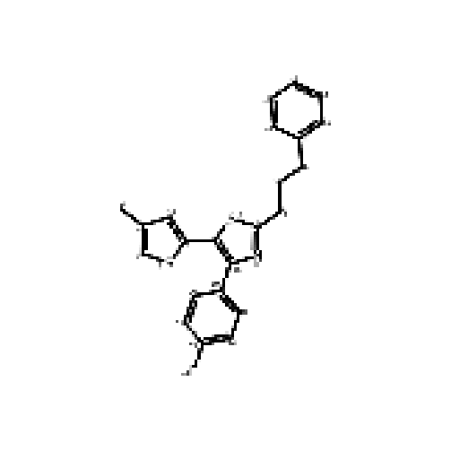 Cc1csc(-c2sc(CCCc3ccccc3)nc2-c2ccc(F)cc2)c1